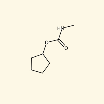 CNC(=O)OC1C[CH]CC1